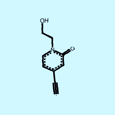 [C]#Cc1ccn(CCO)c(=O)c1